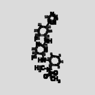 CN(c1ccccc1Nc1nc(Nc2cc(-n3cnnn3)ccc2F)ncc1F)S(C)(=O)=O